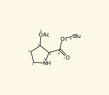 CC(=O)OC1CCNC1C(=O)OC(C)(C)C